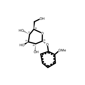 COc1ccccc1O[C@H]1O[C@H](CO)[C@@H](O)[C@H](O)[C@H]1O